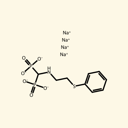 O=P([O-])([O-])C(NCCSc1ccccc1)P(=O)([O-])[O-].[Na+].[Na+].[Na+].[Na+]